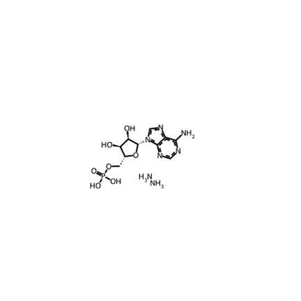 N.N.Nc1ncnc2c1ncn2[C@@H]1O[C@H](COP(=O)(O)O)[C@@H](O)[C@H]1O